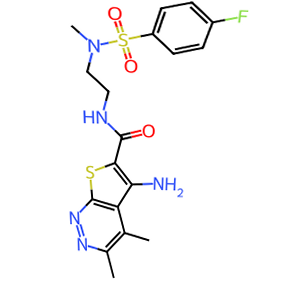 Cc1nnc2sc(C(=O)NCCN(C)S(=O)(=O)c3ccc(F)cc3)c(N)c2c1C